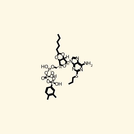 CCCCCC1OC2[C@@H](COP(=O)(O)OP(=O)(O)OP(=O)(O)c3ccc(C)c(C)c3)O[C@@H](n3cnc4c(N)nc(SCCC)nc43)[C@H]2O1